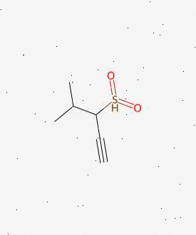 C#CC(C([CH2])C)[SH](=O)=O